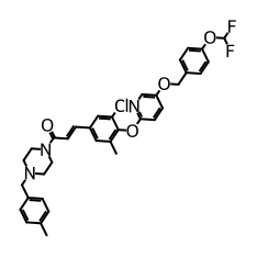 Cc1ccc(CN2CCN(C(=O)/C=C/c3cc(C)c(Oc4ccc(OCc5ccc(OC(F)F)cc5)cn4)c(Cl)c3)CC2)cc1